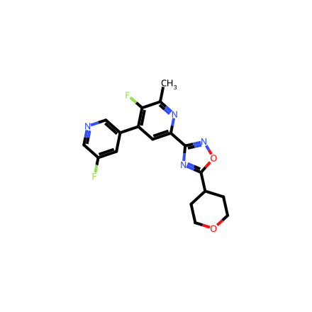 Cc1nc(-c2noc(C3CCOCC3)n2)cc(-c2cncc(F)c2)c1F